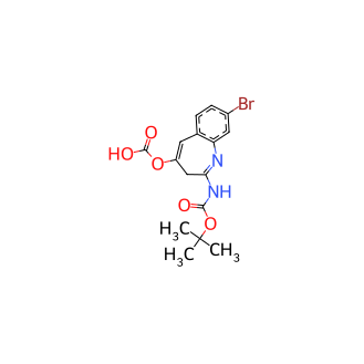 CC(C)(C)OC(=O)NC1=Nc2cc(Br)ccc2C=C(OC(=O)O)C1